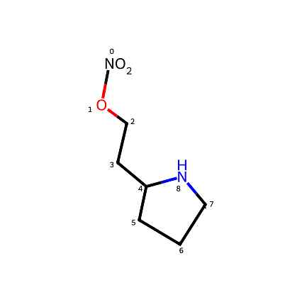 O=[N+]([O-])OCCC1CC[CH]N1